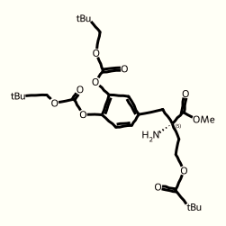 COC(=O)[C@@](N)(CCOC(=O)C(C)(C)C)Cc1ccc(OC(=O)OCC(C)(C)C)c(OC(=O)OCC(C)(C)C)c1